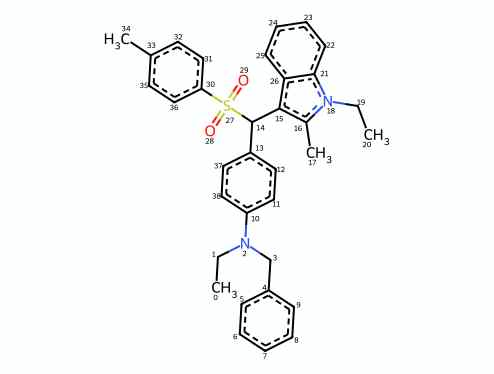 CCN(Cc1ccccc1)c1ccc(C(c2c(C)n(CC)c3ccccc23)S(=O)(=O)c2ccc(C)cc2)cc1